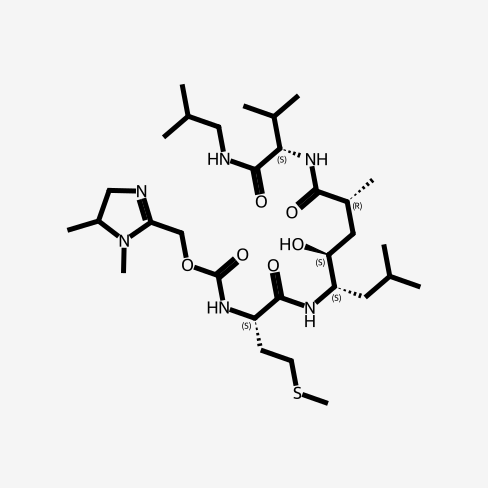 CSCC[C@H](NC(=O)OCC1=NCC(C)N1C)C(=O)N[C@@H](CC(C)C)[C@@H](O)C[C@@H](C)C(=O)N[C@H](C(=O)NCC(C)C)C(C)C